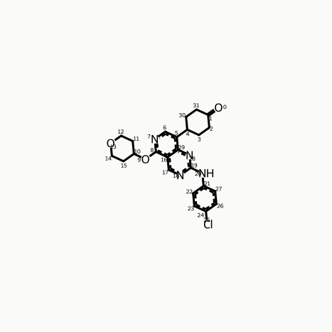 O=C1CCC(c2cnc(OC3CCOCC3)c3cnc(Nc4ccc(Cl)cc4)nc23)CC1